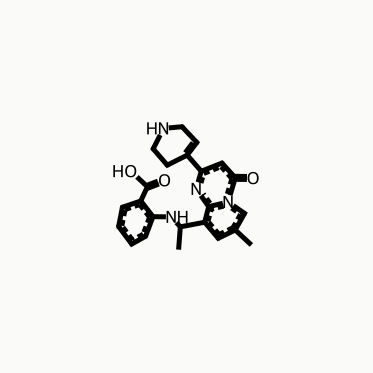 Cc1cc(C(C)Nc2ccccc2C(=O)O)c2nc(C3=CCNCC3)cc(=O)n2c1